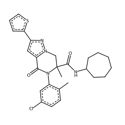 Cc1ccc(Cl)cc1N1C(=O)c2cc(-c3cccs3)nn2CC1(C)C(=O)NC1CCCCCC1